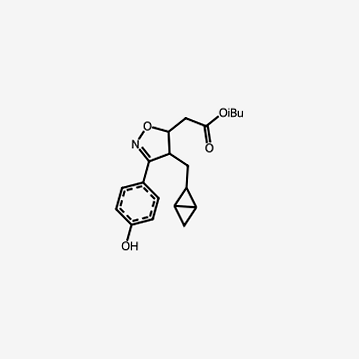 CC(C)COC(=O)CC1ON=C(c2ccc(O)cc2)C1CC1C2CC12